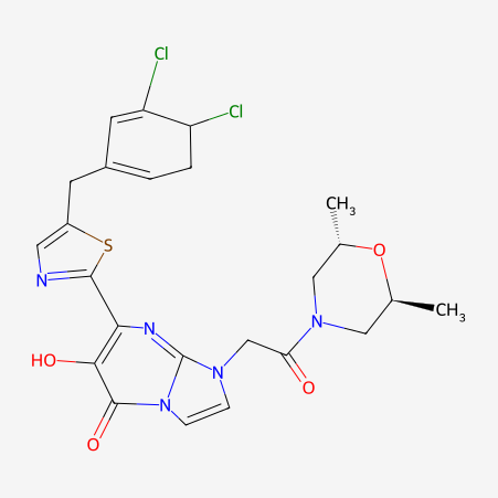 C[C@H]1CN(C(=O)Cn2ccn3c(=O)c(O)c(-c4ncc(CC5=CCC(Cl)C(Cl)=C5)s4)nc23)C[C@H](C)O1